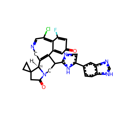 O=C1C=C(F)C2=C(Cl)C=NCC3=C(C2=C1)C(c1ncc(-c2ccc4[nH]cnc4c2)[nH]1)CN1C(=O)CC2(CC2)[C@@H]31